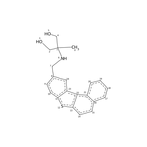 CC(CO)(CO)NCc1ccc2sc3ccc4ccccc4c3c2c1